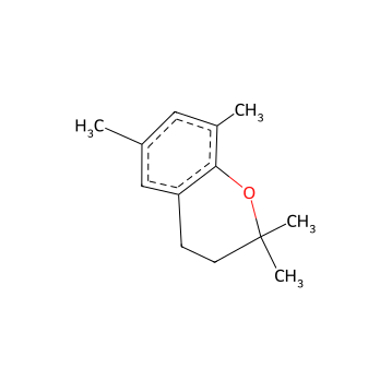 Cc1cc(C)c2c(c1)CCC(C)(C)O2